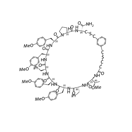 COc1ccc(C[C@@H]2NC(=O)[C@H](Cc3ccc(OC)cc3)NC(=O)[C@@H](CC(C)C)NC(=O)[C@H]([C@@H](C)OC)NC(=O)CCSCc3cccc(c3)CSC[C@@H](C(N)=O)NC(=O)[C@@H]3CCCN3C(=O)[C@H](Cc3ccc(OC)cc3)NC(=O)[C@H](Cc3ccc(OC)cc3)NC(=O)[C@H](CC(C)C)NC2=O)cc1